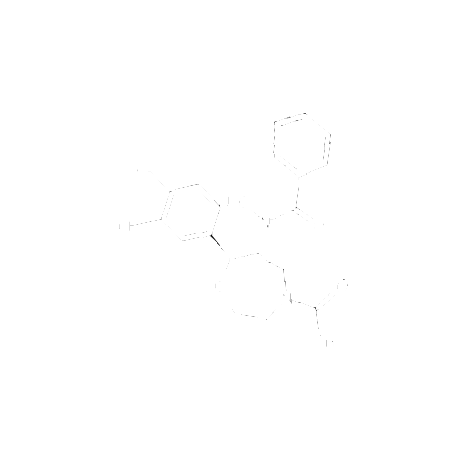 CN(C(=O)c1ccccc1)[C@@H]1CN(C(=O)O)CCO[C@H]1c1ccc(Cl)c(Cl)c1